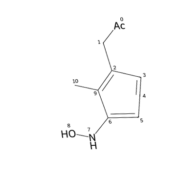 CC(=O)Cc1cccc(NO)c1C